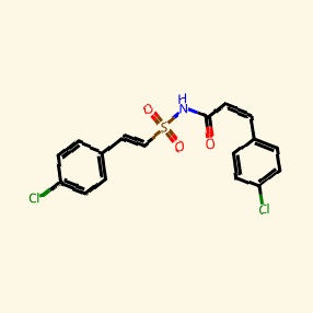 O=C(/C=C\c1ccc(Cl)cc1)NS(=O)(=O)/C=C/c1ccc(Cl)cc1